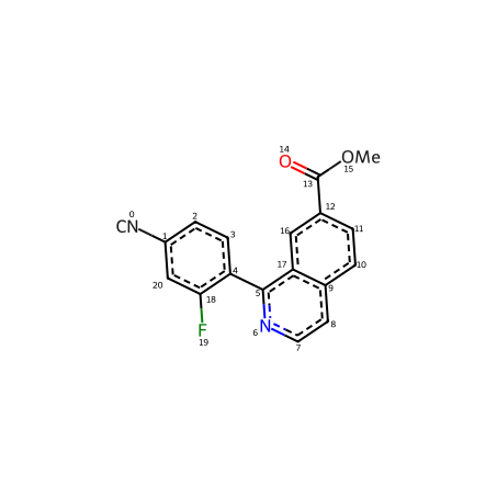 [C-]#[N+]c1ccc(-c2nccc3ccc(C(=O)OC)cc23)c(F)c1